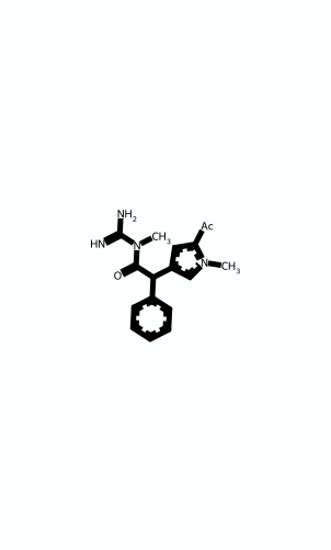 CC(=O)c1cc(C(C(=O)N(C)C(=N)N)c2ccccc2)cn1C